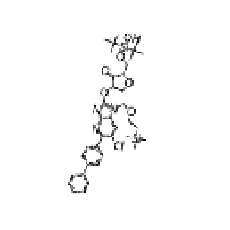 CC(C)(C)[Si](O)(OC[C@H]1OC[C@@H](Oc2nc3nc(-c4ccc(-c5ccccc5)cc4)c(Cl)cc3n2COCC[Si](C)(C)C)C1=O)C(C)(C)C